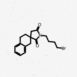 O=C1CC2(CCc3ccccc3C2)C(=O)N1CCCCBr